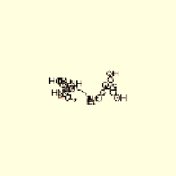 CCN(CCCCCCCC(=O)N[C@H](C(=O)N1C[C@H](O)C[C@H]1C(=O)N[C@@H](C)c1ccc(C2CC2)cc1)C(C)(C)C)CCOc1ccc(C(=O)c2c(-c3ccc(O)cc3)sc3cc(O)ccc23)cc1